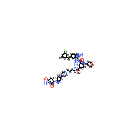 O=C1CCC(Nc2ccc(N3CCN(CCCCNC(=O)c4ccc(NC5CCOCC5)c(C(=O)Nc5n[nH]c6ccc(Cc7cc(F)cc(F)c7)cc56)c4)CC3)cc2)C(=O)N1